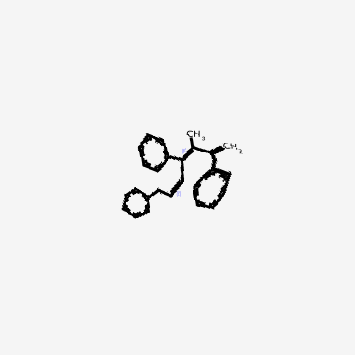 C=C(/C(C)=C(\C=C/Cc1ccccc1)c1ccccc1)c1ccccc1